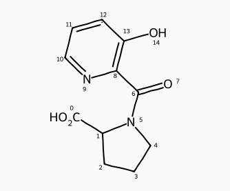 O=C(O)C1CCCN1C(=O)c1ncc[c]c1O